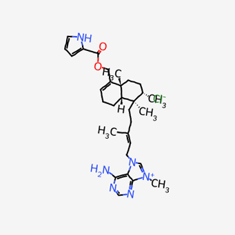 C/C(=C\Cn1c[n+](C)c2ncnc(N)c21)CC[C@]1(C)[C@@H](C)CC[C@@]2(C)C(COC(=O)c3ccc[nH]3)=CCC[C@@H]12.[Cl-]